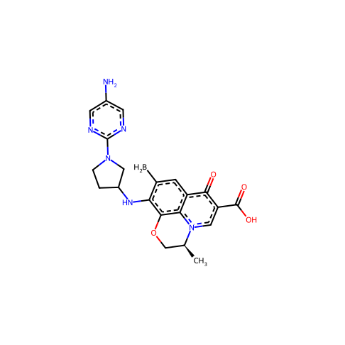 Bc1cc2c(=O)c(C(=O)O)cn3c2c(c1NC1CCN(c2ncc(N)cn2)C1)OC[C@@H]3C